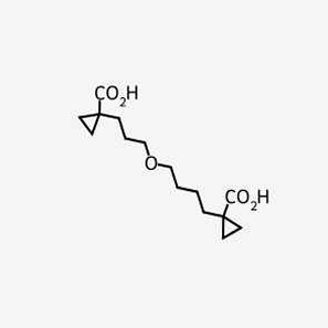 O=C(O)C1(CCCCOCCCC2(C(=O)O)CC2)CC1